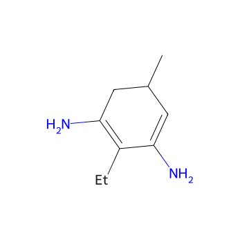 CCC1=C(N)CC(C)C=C1N